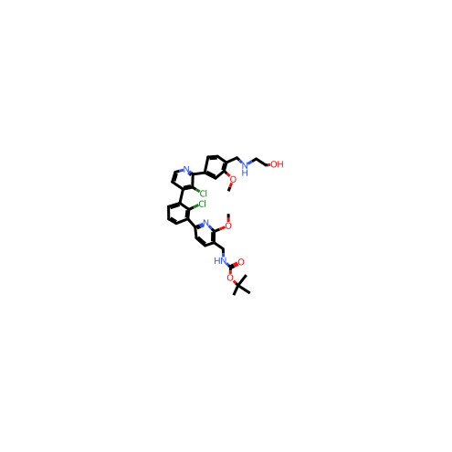 COc1cc(-c2nccc(-c3cccc(-c4ccc(CNC(=O)OC(C)(C)C)c(OC)n4)c3Cl)c2Cl)ccc1CNCCO